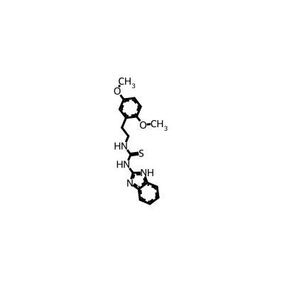 COc1ccc(OC)c(CCNC(=S)Nc2nc3ccccc3[nH]2)c1